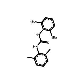 Cc1cccc(C)c1NC(=S)Nc1c(C(C)(C)C)cccc1C(C)(C)C